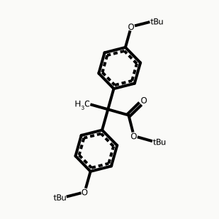 CC(C)(C)OC(=O)C(C)(c1ccc(OC(C)(C)C)cc1)c1ccc(OC(C)(C)C)cc1